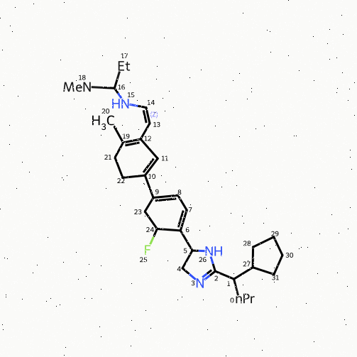 CCCC(C1=NCC(C2=CC=C(C3=CC(/C=C\NC(CC)NC)=C(C)CC3)CC2F)N1)C1CCCC1